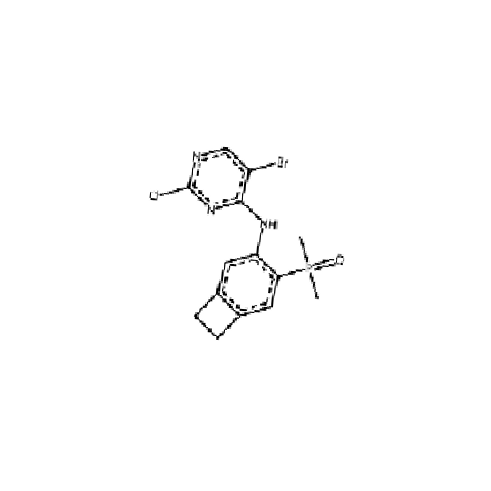 CP(C)(=O)c1cc2c(cc1Nc1nc(Cl)ncc1Br)CC2